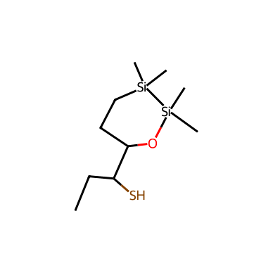 CCC(S)C1CC[Si](C)(C)[Si](C)(C)O1